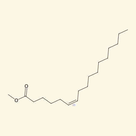 CCCCCCCCCC/C=C\CCCCC(=O)OC